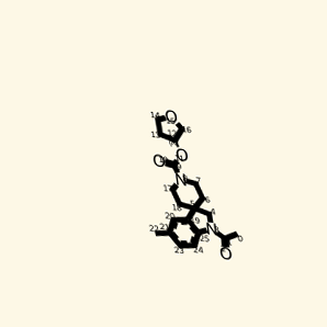 CC(=O)N1CC2(CCN(C(=O)O[C@@H]3CCOC3)CC2)c2cc(C)ccc21